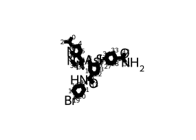 CC(C)c1ccc2c([AsH]c3cc(C(=O)Nc4ccc(Br)cc4)ccc3Sc3ccc(C(N)=O)cc3)ncnc2n1